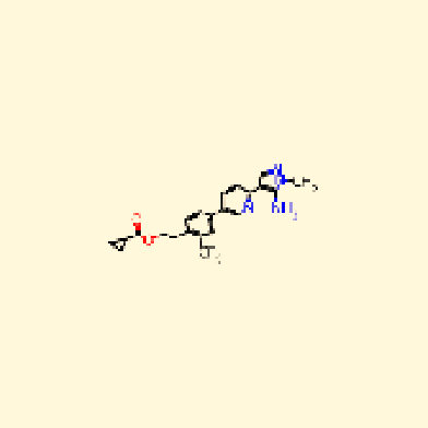 Cn1ncc(-c2ccc(-c3ccc(CCOC(=O)C4CC4)c(C(F)(F)F)c3)cn2)c1N